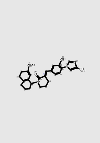 COC1=CC2=C(CCCC2N2CCC/C(=C\c3ccc(-n4cnc(C)c4)c(O)c3)C2=O)CC1